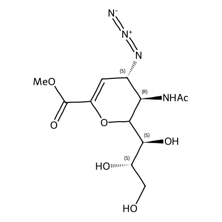 COC(=O)C1=C[C@H](N=[N+]=[N-])[C@@H](NC(C)=O)C([C@@H](O)[C@@H](O)CO)O1